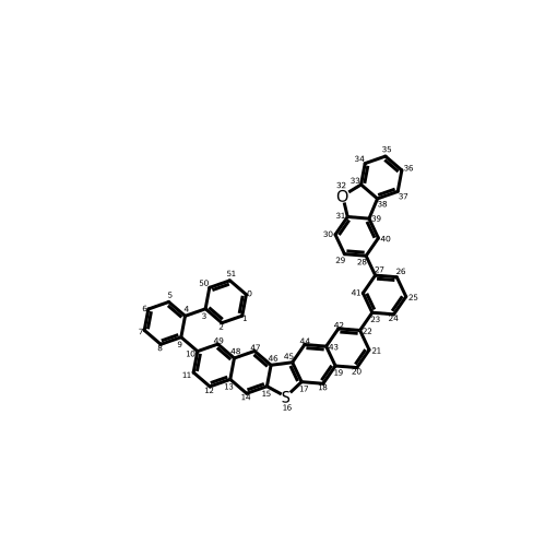 c1ccc(-c2ccccc2-c2ccc3cc4sc5cc6ccc(-c7cccc(-c8ccc9oc%10ccccc%10c9c8)c7)cc6cc5c4cc3c2)cc1